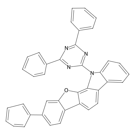 c1ccc(-c2ccc3c(c2)oc2c3ccc3c4ccccc4n(-c4nc(-c5ccccc5)nc(-c5ccccc5)n4)c32)cc1